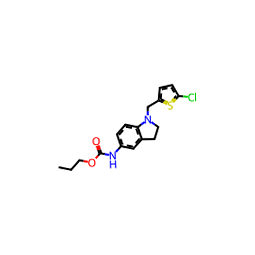 CCCOC(=O)Nc1ccc2c(c1)CCN2Cc1ccc(Cl)s1